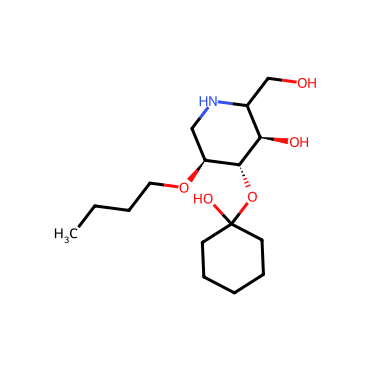 CCCCO[C@H]1CNC(CO)[C@@H](O)[C@@H]1OC1(O)CCCCC1